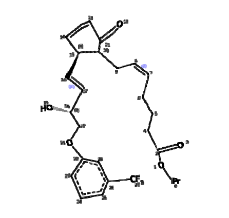 CC(C)OC(=O)CCC/C=C\CC1C(=O)C=C[C@@H]1/C=C/[C@@H](O)COc1cccc(C(F)(F)F)c1